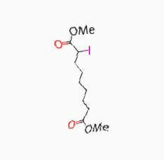 COC(=O)CCCCCCC(I)C(=O)OC